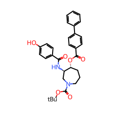 CC(C)(C)OC(=O)N1CCC[C@@H](OC(=O)c2ccc(-c3ccccc3)cc2)[C@H](NC(=O)c2ccc(O)cc2)C1